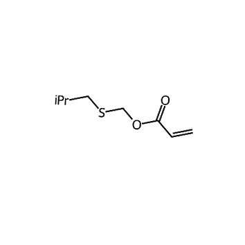 C=CC(=O)OCSCC(C)C